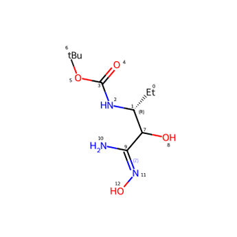 CC[C@@H](NC(=O)OC(C)(C)C)C(O)/C(N)=N/O